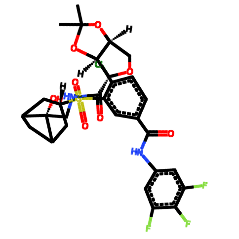 CC1(C)O[C@H]2[C@H](CO[C@@H]2C(=O)NC[C@]2(O)C3CC2C[C@@H](S(=O)(=O)c2cc(C(=O)Nc4cc(F)c(F)c(F)c4)ccc2Cl)C3)O1